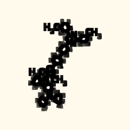 Cc1cccc(-c2cc(-c3ccc(-c4ccc(-c5cc(C)c(-n6c7ccccc7c7cc(N(c8ccccc8)c8ccccc8)ccc76)c(C)c5)cc4)cc3)nc(-c3cccc(C)c3)n2)c1